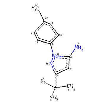 CCC(C)(C)c1cc(N)n(-c2ccc(C)cc2)n1